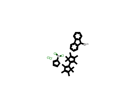 CC1=C(C)C(C)(C)C(C2=C(C)C(C)=C(C)C2(C)C)=C1C.[Cl-].[Cl-].[Cl][Zr]([Cl])[C]1=CC=CC1.[Zr+2][CH]1c2ccccc2-c2ccccc21